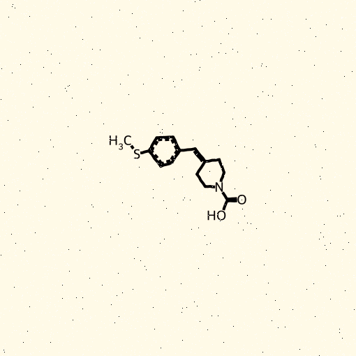 CSc1ccc(C=C2CCN(C(=O)O)CC2)cc1